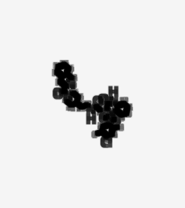 Cc1cc(S(=O)(=O)N2c3ccccc3NC(=O)[C@H]2CC(=O)NCCC2CCN(C(=O)c3cc4ccccc4cn3)CC2)c(C)cc1Cl